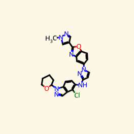 Cn1cc(-c2nc3cc(-n4ccc(Nc5ccc6c(cnn6C6CCCCO6)c5Cl)n4)ccc3o2)cn1